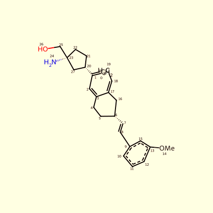 C=C(/C=C1/CC[C@@H](/C=C/c2cccc(OC)c2)C/C1=C/C)[C@H]1CC[C@](N)(CO)C1